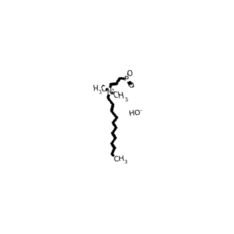 CCCCCCCCCCCC[N+](C)(C)CCCP(=O)=O.[OH-]